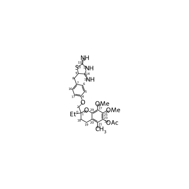 CCC1(COc2ccc(CC3SC(=N)NC3=N)cc2)CCc2c(C)c(OC(C)=O)c(OC)c(OC)c2O1